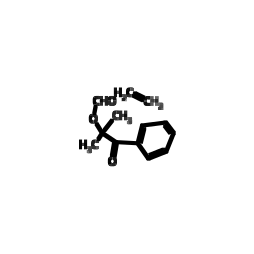 C=C.CC(C)(OC=O)C(=O)c1ccccc1